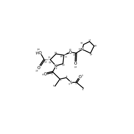 CC(=O)SCC(C)C(=O)N1C[C@H](OC(=O)N2CCCC2)C[C@H]1C(=O)O